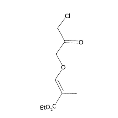 CCOC(=O)C(C)=COCC(=O)CCl